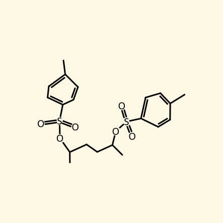 Cc1ccc(S(=O)(=O)OC(C)CCC(C)OS(=O)(=O)c2ccc(C)cc2)cc1